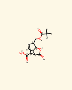 CC(C)(C)C(=O)OCC1C2CC3C1OC(=O)C3C2C(=O)O